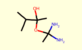 CC(C)C(C)(O)OC(C)(N)N